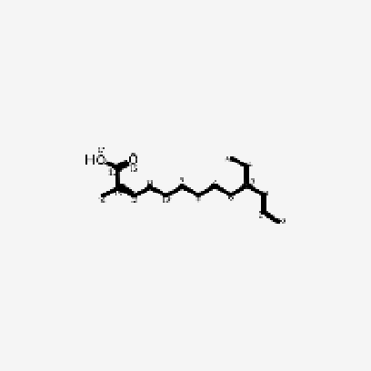 CCCC(CC)CCCCCCC=C(C)C(=O)O